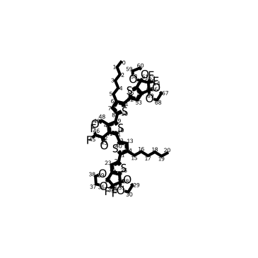 CCCCCCc1cc(-c2sc(-c3cc(CCCCCC)c(-c4cc5c(s4)C4(OCCO4)C(F)(F)C54OCCO4)s3)c(C(=O)C(F)F)c2C=O)sc1-c1cc2c(s1)C1(OCCO1)C(F)(F)C21OCCO1